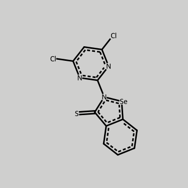 S=c1c2ccccc2[se]n1-c1nc(Cl)cc(Cl)n1